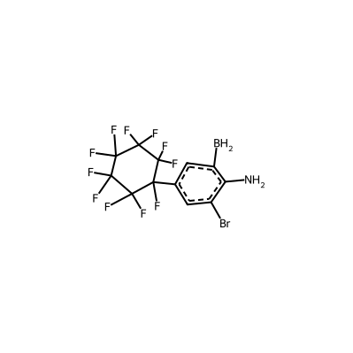 Bc1cc(C2(F)C(F)(F)C(F)(F)C(F)(F)C(F)(F)C2(F)F)cc(Br)c1N